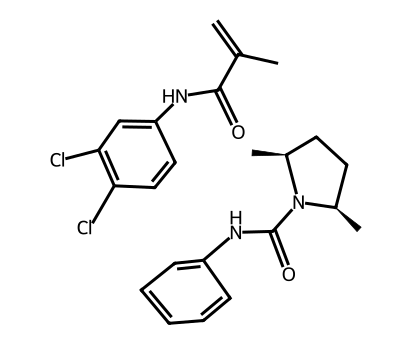 C=C(C)C(=O)Nc1ccc(Cl)c(Cl)c1.C[C@@H]1CC[C@H](C)N1C(=O)Nc1ccccc1